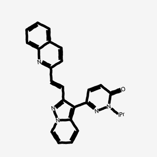 CC(C)n1nc(-c2c(/C=C/c3ccc4ccccc4n3)nn3ccccc23)ccc1=O